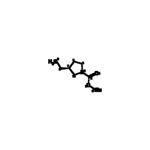 CC(C)(C)OC(=O)N1CC[C@H](C[SiH3])C1